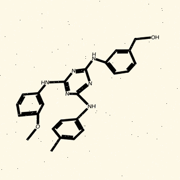 COc1cccc(Nc2nc(Nc3ccc(C)cc3)nc(Nc3cccc(CO)c3)n2)c1